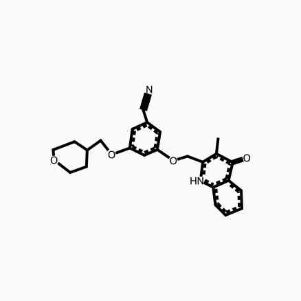 Cc1c(COc2cc(C#N)cc(OCC3CCOCC3)c2)[nH]c2ccccc2c1=O